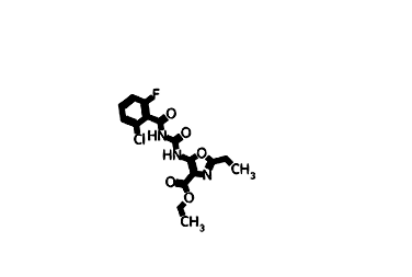 CCOC(=O)c1nc(CC)oc1NC(=O)NC(=O)c1c(F)cccc1Cl